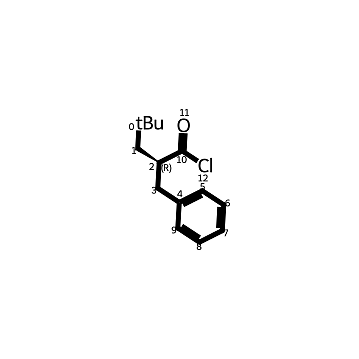 CC(C)(C)C[C@H](Cc1ccccc1)C(=O)Cl